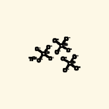 [O-][Cl+3]([O-])([O-])[O-].[O-][Cl+3]([O-])([O-])[O-].[O-][Cl+3]([O-])([O-])[O-].[Tl+3]